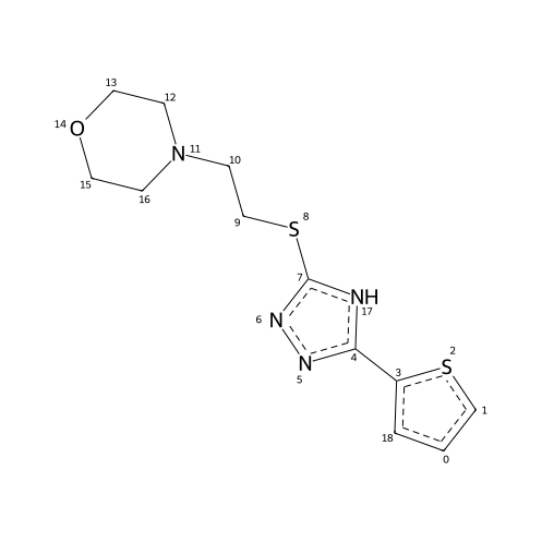 c1csc(-c2nnc(SCCN3CCOCC3)[nH]2)c1